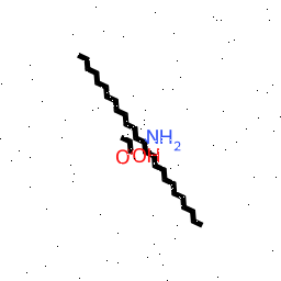 CCC(=O)O.CCCCCCCCCCCCCC(N)CCCCCCCCCCCC